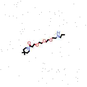 CCCNCCOCCOCCOCCC(=O)N1CCC(C)(C)CC1